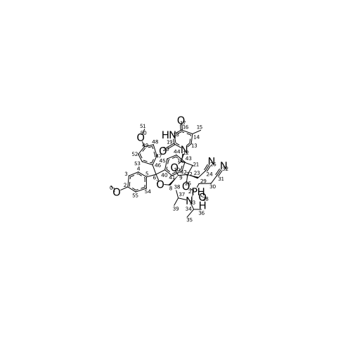 COc1ccc(C(OC[C@H]2O[C@@H](n3cc(C)c(=O)[nH]c3=O)C[C@]2(CC#N)O[PH](O)(CCC#N)N(C(C)C)C(C)C)(c2ccccc2)c2ccc(OC)cc2)cc1